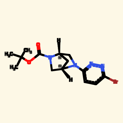 CC(C)(C)OC(=O)N1C[C@@H]2C[C@H]1CN2c1ccc(Br)nn1